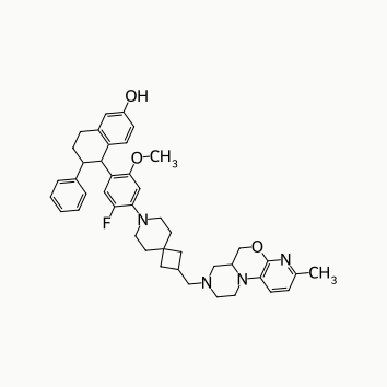 COc1cc(N2CCC3(CC2)CC(CN2CCN4c5ccc(C)nc5OCC4C2)C3)c(F)cc1C1c2ccc(O)cc2CCC1c1ccccc1